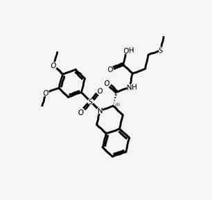 COc1ccc(S(=O)(=O)N2Cc3ccccc3C[C@H]2C(=O)NC(CCSC)C(=O)O)cc1OC